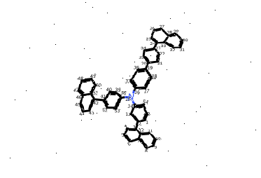 c1cc(-c2cccc3ccccc23)cc(N(c2ccc(-c3ccc(-c4cccc5ccccc45)cc3)cc2)c2ccc(-c3cccc4ccccc34)cc2)c1